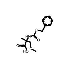 COCC(C)(NC(=O)OCc1ccccc1)C(=O)O